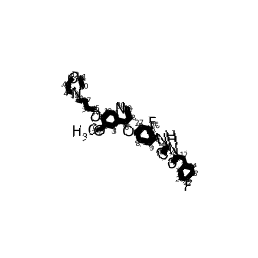 COc1cc2c(Oc3ccc(NC(=O)NC(=O)Cc4ccc(F)cc4)c(F)c3)ccnc2cc1OCCCCN1CCOCC1